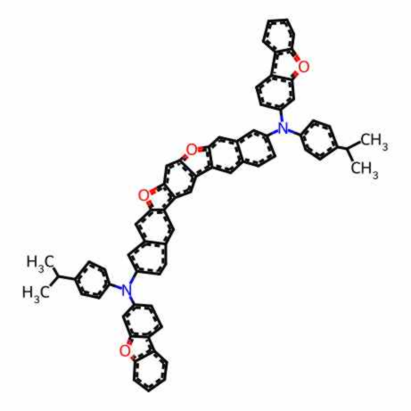 CC(C)c1ccc(N(c2ccc3cc4c(cc3c2)oc2cc3oc5cc6cc(N(c7ccc(C(C)C)cc7)c7ccc8c(c7)oc7ccccc78)ccc6cc5c3cc24)c2ccc3c(c2)oc2ccccc23)cc1